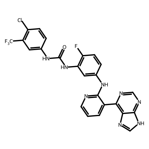 O=C(Nc1ccc(Cl)c(C(F)(F)F)c1)Nc1cc(Nc2ncccc2-c2ncnc3[nH]cnc23)ccc1F